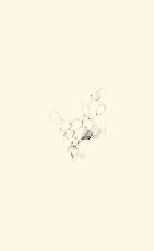 N#Cc1cnc2c(Cl)cc(N[C@@H](c3cccc(-c4ncco4)c3)c3c[nH]nn3)cc2c1Nc1cnc(F)c(F)c1